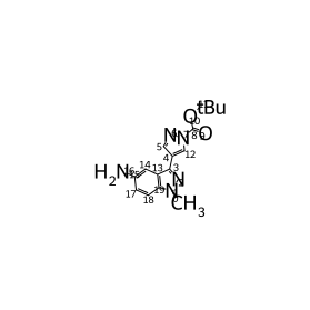 Cn1nc(-c2cnn(C(=O)OC(C)(C)C)c2)c2cc(N)ccc21